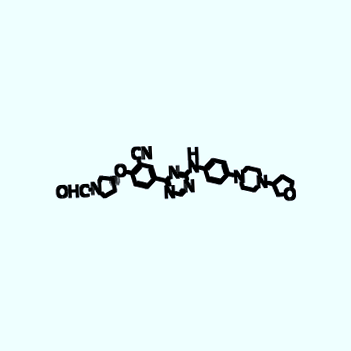 N#Cc1cc(-c2ncnc(Nc3ccc(N4CCN(C5CCOC5)CC4)cc3)n2)ccc1O[C@@H]1CCN(C=O)C1